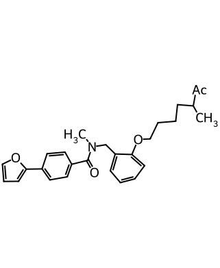 CC(=O)C(C)CCCCOc1ccccc1CN(C)C(=O)c1ccc(-c2ccco2)cc1